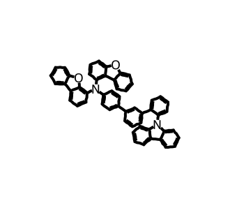 c1cc(-c2ccc(N(c3cccc4c3oc3ccccc34)c3cccc4oc5ccccc5c34)cc2)cc(-c2ccccc2-n2c3ccccc3c3ccccc32)c1